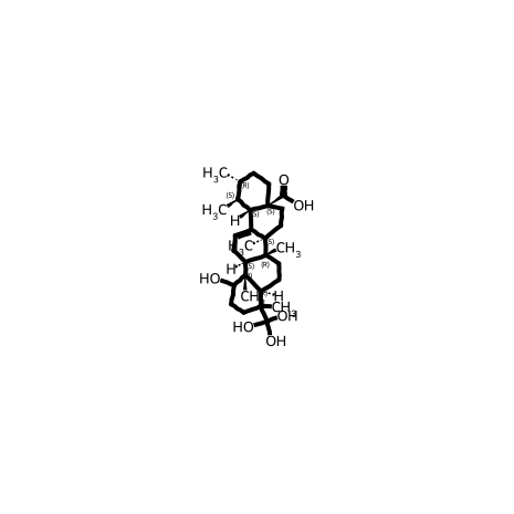 C[C@H]1[C@H](C)CC[C@]2(C(=O)O)CC[C@]3(C)C(=CC[C@@H]4[C@@]5(C)C(O)CCC(C)(C(O)(O)O)[C@@H]5CC[C@]43C)[C@H]12